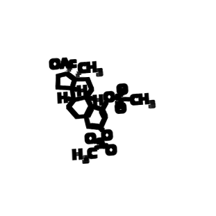 CC(=O)O[C@H]1CC[C@H]2[C@H]3CCc4cc(OS(C)(=O)=O)cc(OS(C)(=O)=O)c4[C@H]3CC[C@]12C